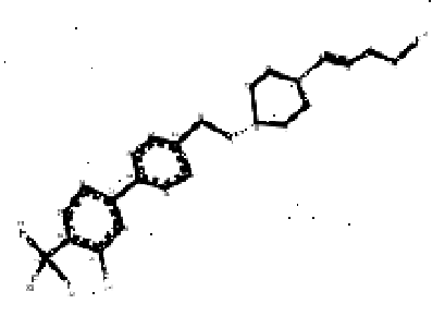 FCCC=C[C@H]1CC[C@H](CCc2ccc(-c3ccc(C(F)(F)F)c(F)c3)cc2)CC1